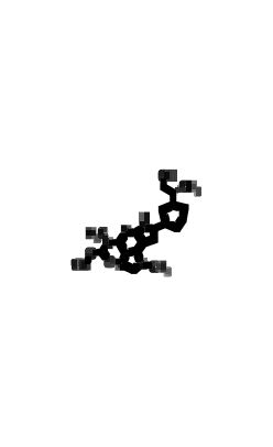 C[C@@H](CO)c1cccc(-c2cc3c(nc(N(C)C(=O)OC(C)(C)C)c4ncn(C)c43)[nH]2)c1